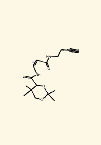 C#CCCNC(=O)/C=C\NC(=O)C1OC(C)(C)OCC1(C)C